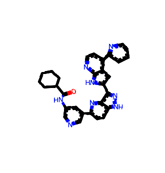 O=C(Nc1cncc(-c2ccc3[nH]nc(-c4cc5c(-c6ccccn6)ccnc5[nH]4)c3n2)c1)C1CCCCC1